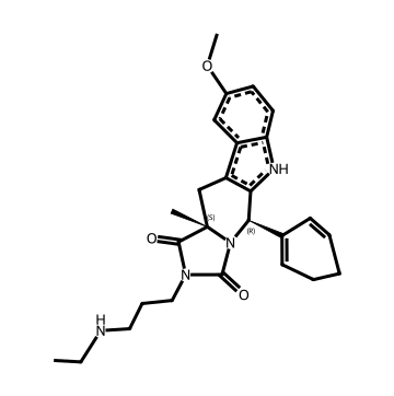 CCNCCCN1C(=O)N2[C@H](C3=CCCC=C3)c3[nH]c4ccc(OC)cc4c3C[C@@]2(C)C1=O